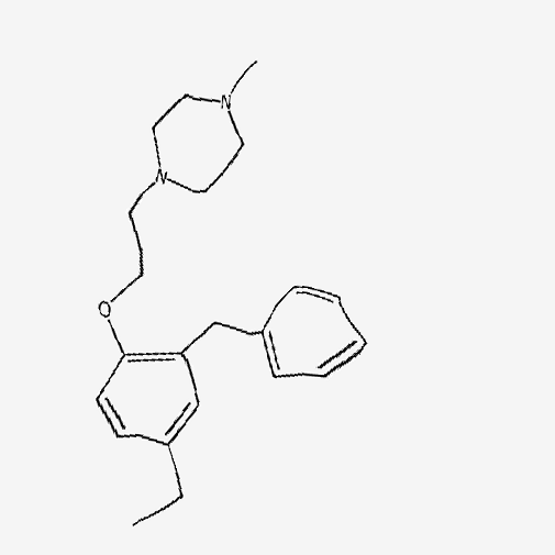 CCc1ccc(OCCN2CCN(C)CC2)c(Cc2ccccc2)c1